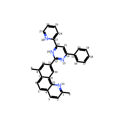 Cc1ccc2ccc3c(C)cc(-c4nc(-c5ccccc5)cc(-c5ccccn5)n4)cc3c2n1